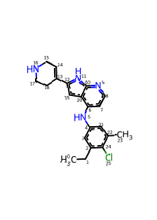 CCc1cc(Nc2ccnc3[nH]c(C4=CCNCC4)cc23)cc(C)c1Cl